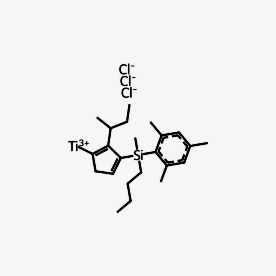 CCCC[Si](C)(C1=CC[C]([Ti+3])=C1C(C)CC)c1c(C)cc(C)cc1C.[Cl-].[Cl-].[Cl-]